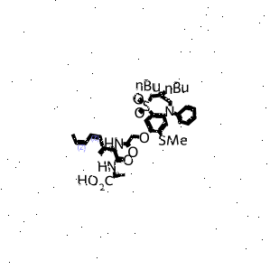 C=C(/C=C\C=C/C)[C@@H](NC(=O)COc1cc2c(cc1SC)N(c1ccccc1)CC(CCCC)(CCCC)CS2(=O)=O)C(=O)N[C@@H](C)C(=O)O